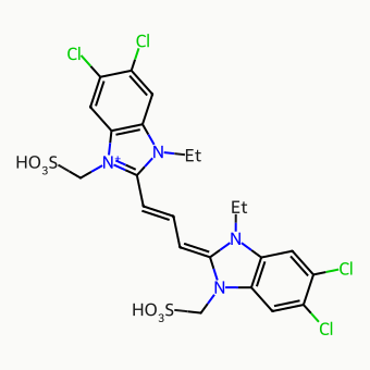 CCN1C(=CC=Cc2n(CC)c3cc(Cl)c(Cl)cc3[n+]2CS(=O)(=O)O)N(CS(=O)(=O)O)c2cc(Cl)c(Cl)cc21